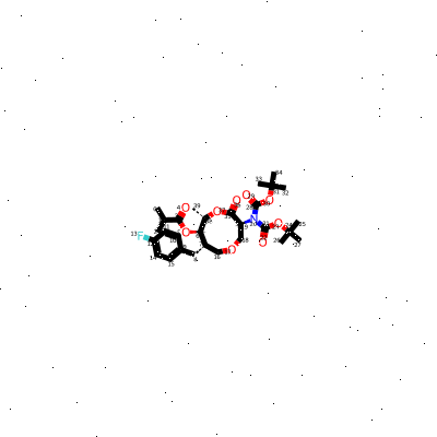 CC(C)C(=O)O[C@@H]1[C@@H](Cc2ccc(F)cc2)COC[C@H](N(C(=O)OC(C)(C)C)C(=O)OC(C)(C)C)C(=O)O[C@H]1C